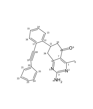 Cc1nc(N)nc2c1C(=O)CC(c1ccccc1C#Cc1ccccc1)C2